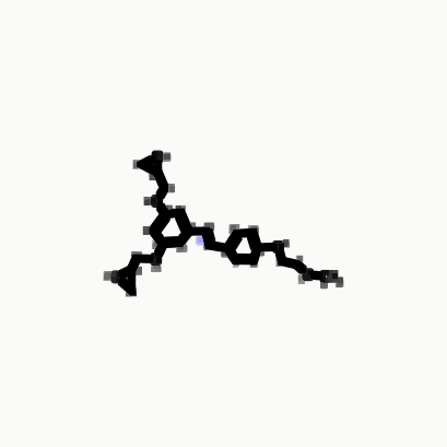 COCCOc1ccc(/C=C/c2cc(OCC3CO3)cc(OCC3CO3)c2)cc1